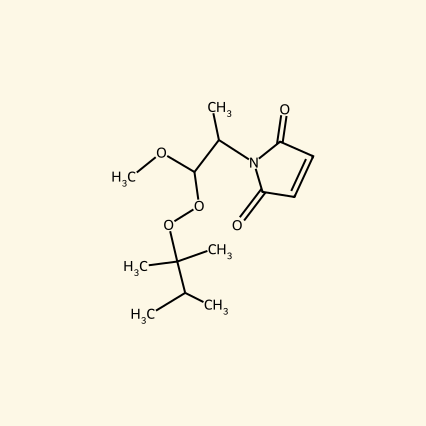 COC(OOC(C)(C)C(C)C)C(C)N1C(=O)C=CC1=O